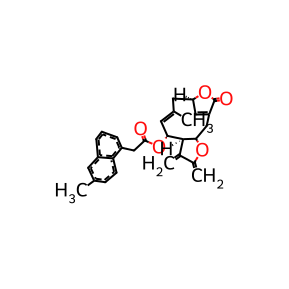 C=C1OC2CC3=C[C@@H](C/C(C)=C/[C@@H](OC(=O)Cc4cccc5cc(C)ccc45)[C@@H]2C1=C)OC3=O